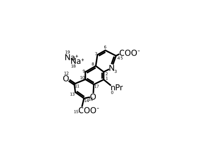 CCCc1c2nc(C(=O)[O-])ccc2cc2c(=O)cc(C(=O)[O-])oc12.[Na+].[Na+]